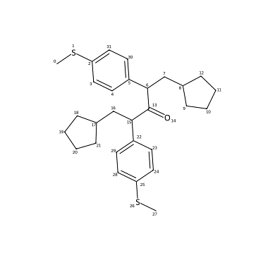 CSc1ccc(C(CC2CCCC2)C(=O)C(CC2CCCC2)c2ccc(SC)cc2)cc1